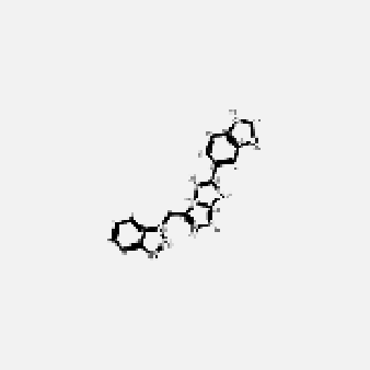 c1ccc2c(c1)nnn2Cc1nnc2sc(-c3ccc4c(c3)OCO4)nn12